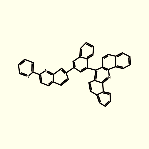 c1ccc(-c2ccc3ccc(-c4cc(-c5c6ccc7ccccc7c6nc6c5ccc5ccccc56)c5ccccc5c4)cc3n2)nc1